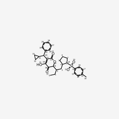 CCC(CC1CCCN1S(=O)(=O)c1ccc(C)cc1)C1OC(=O)C(C(c2ccccc2)C2CC2)=C(O)C1=O